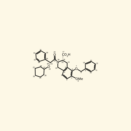 COc1ccc2c(c1OCc1ccccc1)C[C@@H](C(=O)O)N(C(=O)[C@H](OC1CCCCC1)c1ccccc1)C2